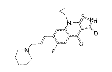 O=c1[nH]sc2c1c(=O)c1cc(F)c(/C=C/CN3CCCCC3)cc1n2C1CC1